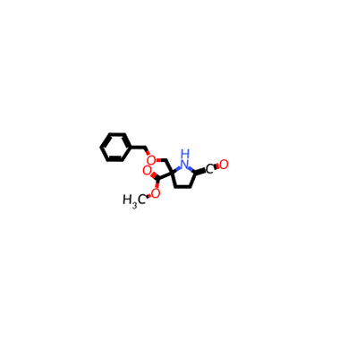 COC(=O)C1(COCc2ccccc2)CCC(=C=O)N1